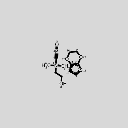 C[N+](C)(C#P=O)CCO.c1cc2c(s1)OCCO2